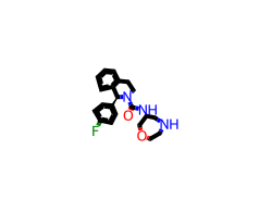 O=C(N[C@@H]1CNCCOC1)N1CCc2ccccc2[C@@H]1c1ccc(F)cc1